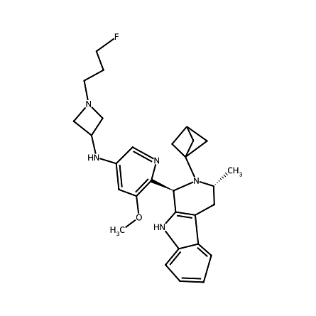 COc1cc(NC2CN(CCCF)C2)cnc1[C@@H]1c2[nH]c3ccccc3c2C[C@@H](C)N1C12CC(C1)C2